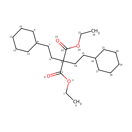 CCOC(=O)C(CCC1CCCCC1)(CCC1CCCCC1)C(=O)OCC